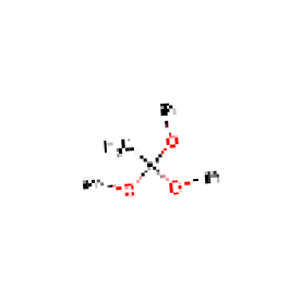 CC(C)O[B-](C)(OC(C)C)OC(C)C